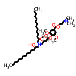 CCCCCCCCCCCCC(O)CN(CCCC(=O)Oc1c(OC)cc(C(=O)OCCCN(C)C)cc1OC)CC(CCCCCCCCCCCC)OC